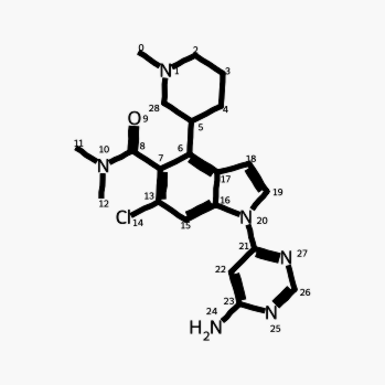 CN1CCCC(c2c(C(=O)N(C)C)c(Cl)cc3c2ccn3-c2cc(N)ncn2)C1